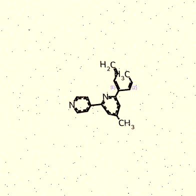 C=C/C=C(\C=C/C)c1cc(C)cc(-c2ccncc2)n1